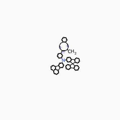 C=C1/C=C\c2ccccc2C/C=C\C(c2cccc(N(c3ccc4c(c3)-c3cccc5cccc-4c35)c3ccc4c(c3)C3(c5ccccc5-c5ccccc53)c3ccccc3-4)c2)=C/1